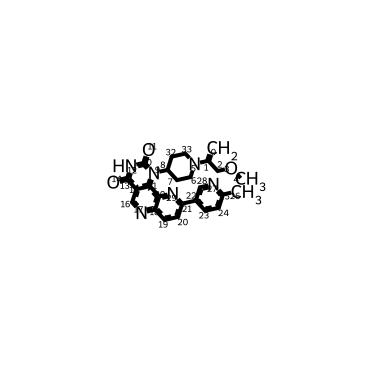 C=C(COC)N1CCC(n2c(=O)[nH]c(=O)c3cnc4ccc(-c5ccc(C)nc5)nc4c32)CC1